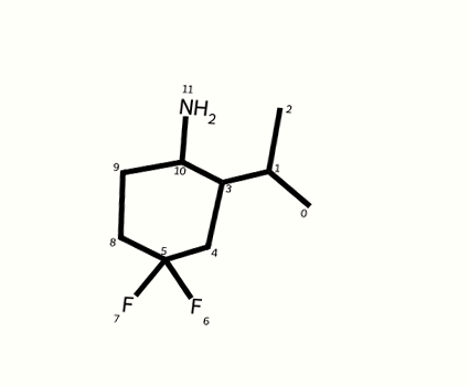 CC(C)C1CC(F)(F)CCC1N